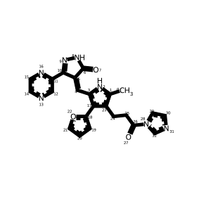 Cc1[nH]c(C=C2C(=O)NN=C2c2cnccn2)c(-c2ccco2)c1CCC(=O)n1ccnc1